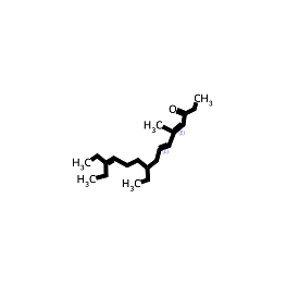 CCC(=O)/C=C(C)/C=C/CC(CC)CCC=C(CC)CC